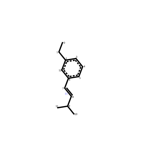 CCc1cccc(/C=C/C(C)C)c1